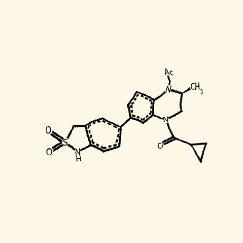 CC(=O)N1c2ccc(-c3ccc4c(c3)CS(=O)(=O)N4)cc2N(C(=O)C2CC2)C[C@@H]1C